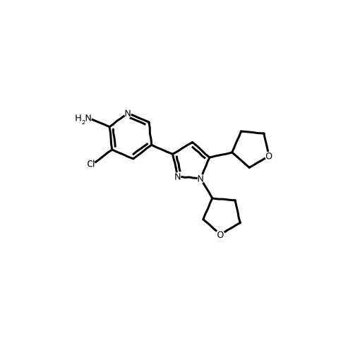 Nc1ncc(-c2cc(C3CCOC3)n(C3CCOC3)n2)cc1Cl